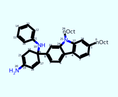 CCCCCCCCc1ccc2c3ccc(C4(Nc5ccccc5)C=CC(N)=CC4)cc3n(CCCCCCCC)c2c1